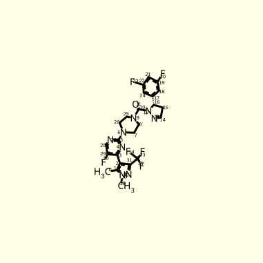 Cc1c(-c2nc(N3CCN(C(=O)N4N=CC[C@H]4c4cc(F)cc(F)c4)CC3)ncc2F)c(C(F)(F)F)nn1C